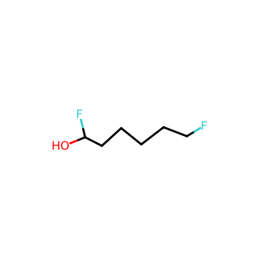 OC(F)CCCCCF